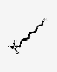 CCCCCC=CCP(=O)(O)O